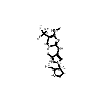 CNc1nc(Nc2cn([C@@]3(C)CCOC3O)nc2C)ncc1C(F)(F)F